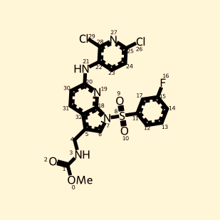 COC(=O)NCc1cn(S(=O)(=O)c2cccc(F)c2)c2nc(Nc3ccc(Cl)nc3Cl)ccc12